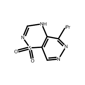 CC(C)c1nncc2c1NC=NS2(=O)=O